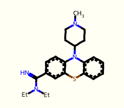 CCN(CC)C(=N)c1ccc2c(c1)Sc1ccccc1N2C1CCN(C)CC1